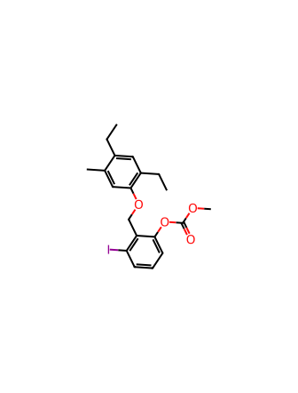 CCc1cc(CC)c(OCc2c(I)cccc2OC(=O)OC)cc1C